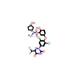 C=[N+]([C@@H]1CC[C@H](O)C1)S(=O)(=O)c1cc(Oc2c(Cl)cc(-n3nc(C(F)F)c(=O)[nH]c3=O)cc2Cl)ccc1O